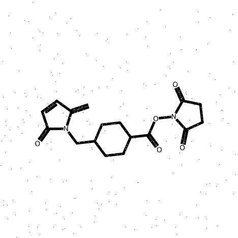 C=C1C=CC(=O)N1CC1CCC(C(=O)ON2C(=O)CCC2=O)CC1